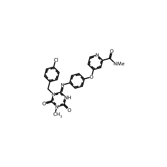 CNC(=O)c1cc(Oc2ccc(/N=c3\[nH]c(=O)n(C)c(=O)n3Cc3ccc(Cl)cc3)cc2)ccn1